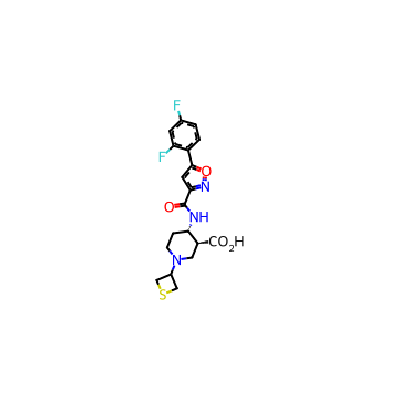 O=C(N[C@H]1CCN(C2CSC2)C[C@@H]1C(=O)O)c1cc(-c2ccc(F)cc2F)on1